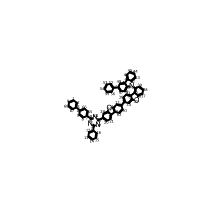 c1ccc(-c2ccc(-c3nc(-c4ccccc4)nc(-c4ccc5c(c4)oc4cc(-c6ccc7c(c6)oc6cccc(-n8c9ccccc9c9cc(-c%10ccccc%10)ccc98)c67)ccc45)n3)cc2)cc1